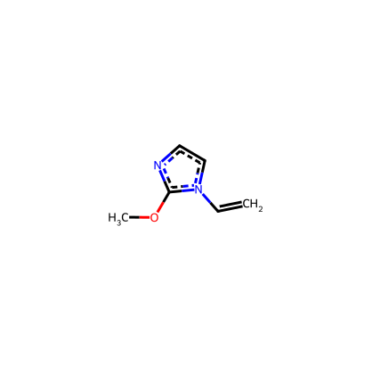 C=Cn1ccnc1OC